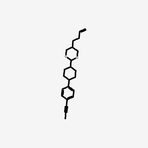 C=CCCC1COC(C2CCC(c3ccc(C#CC)cc3)CC2)OC1